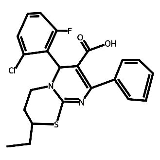 CCC1CCN2C(=NC(c3ccccc3)=C(C(=O)O)C2c2c(F)cccc2Cl)S1